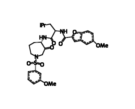 COc1cccc(S(=O)(=O)N2CCC[C@H](NC(=O)C(CC(C)C)NC(=O)c3cc4cc(OC)ccc4o3)C(=O)C2)c1